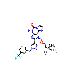 C[Si](C)(C)CCOCn1c(-c2cnn(CC3=CCCC(C(F)(F)F)=C3)c2)nc2[nH]c(=O)n3ccnc3c21